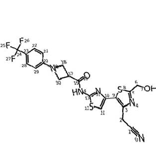 N#CCc1nc(CO)sc1-c1csc(NC(=O)C2CN(c3ccc(C(F)(F)F)cc3)C2)n1